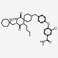 CCCCN1C(=O)[C@@H](CC2(O)CCCCC2)NC(=O)C12CCN(Cc1ccc(Oc3ccc(C(=O)NC)cc3Cl)cc1)CC2